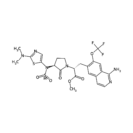 COC(=O)[C@@H](Cc1cc2ccnc(N)c2cc1OC(F)(F)F)N1CC[C@H](N(c2cnc(N(C)C)s2)[SH](=O)=O)C1=O